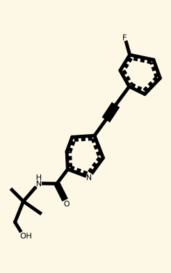 CC(C)(CO)NC(=O)c1ccc(C#Cc2cccc(F)c2)cn1